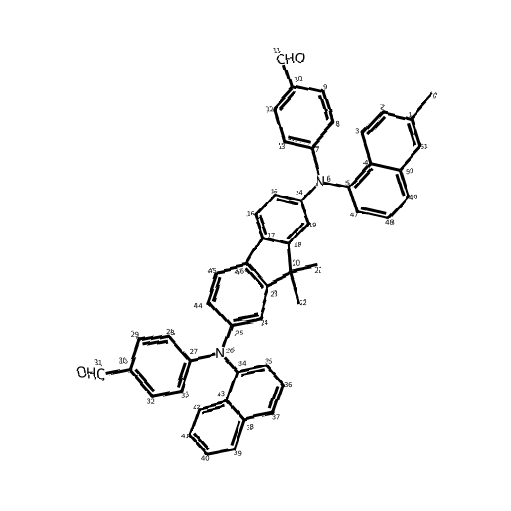 Cc1ccc2c(N(c3ccc(C=O)cc3)c3ccc4c(c3)C(C)(C)c3cc(N(c5ccc(C=O)cc5)c5cccc6ccccc56)ccc3-4)cccc2c1